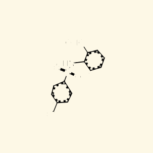 O=Cc1ccccc1NS(=O)(=O)c1ccc(Cl)cc1